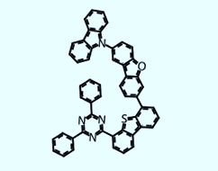 c1ccc(-c2nc(-c3ccccc3)nc(-c3cccc4c3sc3c(-c5ccc6c(c5)oc5ccc(-n7c8ccccc8c8ccccc87)cc56)cccc34)n2)cc1